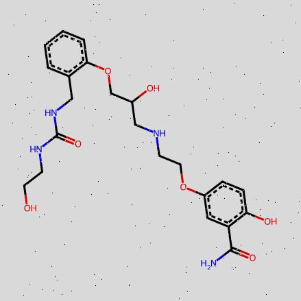 NC(=O)c1cc(OCCNCC(O)COc2ccccc2CNC(=O)NCCO)ccc1O